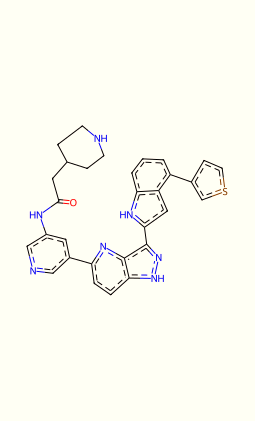 O=C(CC1CCNCC1)Nc1cncc(-c2ccc3[nH]nc(-c4cc5c(-c6ccsc6)cccc5[nH]4)c3n2)c1